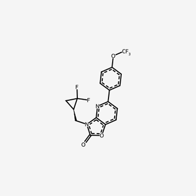 O=c1oc2ccc(-c3ccc(OC(F)(F)F)cc3)nc2n1C[C@H]1CC1(F)F